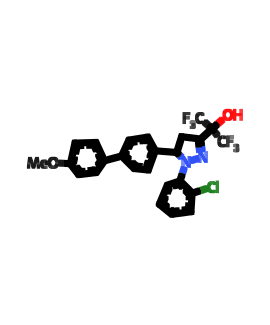 COc1ccc(-c2ccc(C3CC(C(O)(C(F)(F)F)C(F)(F)F)=NN3c3ccccc3Cl)cc2)cc1